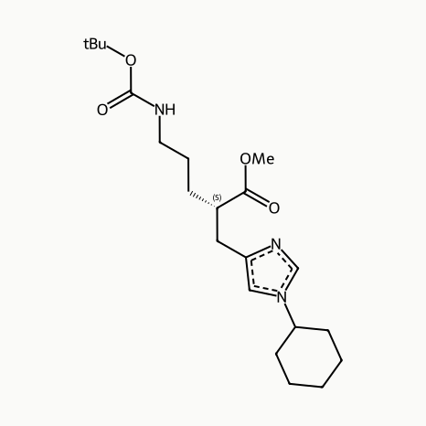 COC(=O)[C@@H](CCCNC(=O)OC(C)(C)C)Cc1cn(C2CCCCC2)cn1